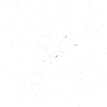 CS(=O)(=O)c1ccc(/C(=C\[C@H]2C[C@@H](F)[C@@H](F)C2)C(=O)Nc2cnccn2)cc1